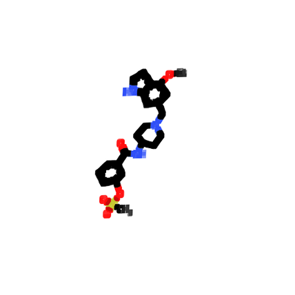 CCOc1cc(CN2CCC(NC(=O)c3cccc(OS(C)(=O)=O)c3)CC2)cc2[nH]ccc12